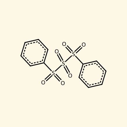 O=S(=O)(c1ccccc1)S(=O)(=O)S(=O)(=O)c1ccccc1